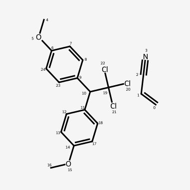 C=CC#N.COc1ccc(C(c2ccc(OC)cc2)C(Cl)(Cl)Cl)cc1